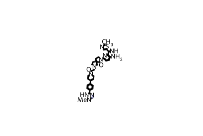 CN/C=N\C(=N)c1ccc(C2=CCN(C(=O)CN3CC[C@]4(CCN(c5ccc(N)c(C(=N)c6cnc(C)s6)n5)C4=O)C3)CC2)cc1